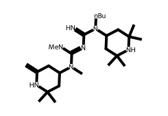 C=C1CC(N(C)/C(=N/C(=N)N(CCCC)C2CC(C)(C)NC(C)(C)C2)NC)CC(C)(C)N1